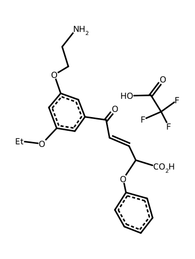 CCOc1cc(OCCN)cc(C(=O)C=CC(Oc2ccccc2)C(=O)O)c1.O=C(O)C(F)(F)F